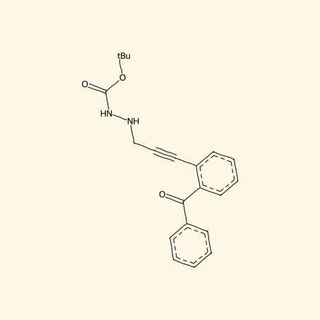 CC(C)(C)OC(=O)NNCC#Cc1ccccc1C(=O)c1ccccc1